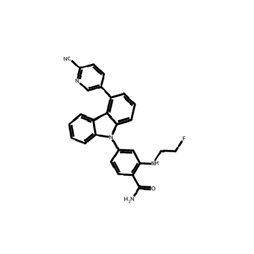 N#Cc1ccc(-c2cccc3c2c2ccccc2n3-c2ccc(C(N)=O)c(NCCF)c2)cn1